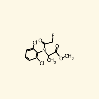 COC(=O)C(C)N(C(=O)CF)c1c(Cl)cccc1Cl